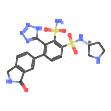 NS(=O)(=O)c1c(S(=O)(=O)N[C@@H]2CCNC2)ccc(-c2ccc3c(c2)C(=O)NC3)c1-c1nnn[nH]1